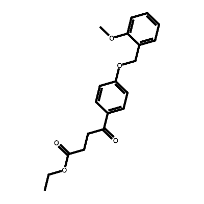 CCOC(=O)CCC(=O)c1ccc(OCc2ccccc2OC)cc1